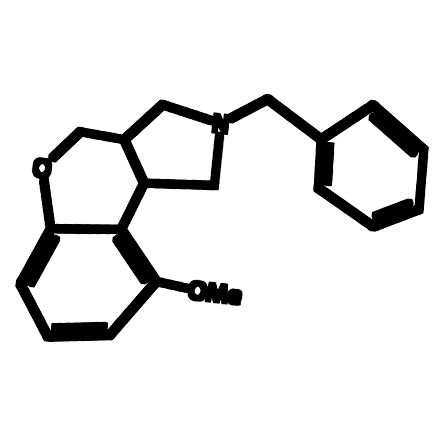 COc1cccc2c1C1CN(Cc3ccccc3)CC1CO2